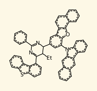 CCC1C(c2cccc3sc4ccccc4c23)=NC(c2ccccc2)=NC1c1cc(-n2c3ccccc3c3cc4ccccc4cc32)c2oc3c4ccccc4ccc3c2c1